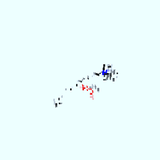 CCCCCCCCCCCCCCCC[N+](C)(C)C.CCO.[OH-]